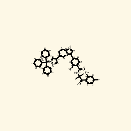 Cc1ccc(C(=O)C(C)(C)NC(=O)c2ccc(-c3cnc4ccc(-c5cnn(C(c6ccccc6)(c6ccccc6)c6ccccc6)c5)cn34)cc2F)c(F)c1